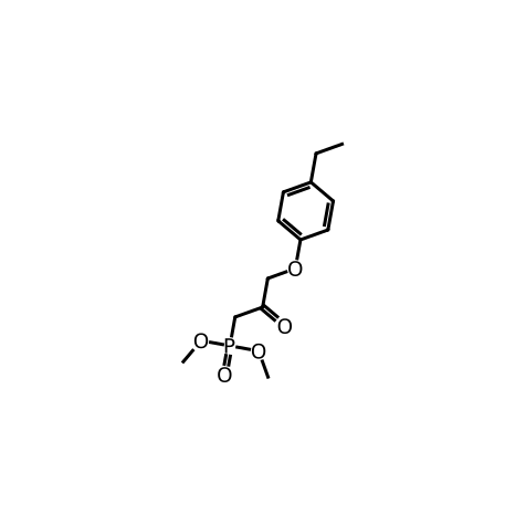 CCc1ccc(OCC(=O)CP(=O)(OC)OC)cc1